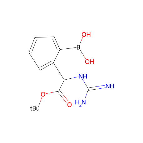 CC(C)(C)OC(=O)C(NC(=N)N)c1ccccc1B(O)O